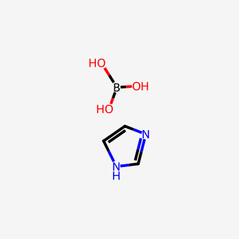 OB(O)O.c1c[nH]cn1